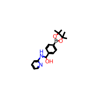 CC1(C)OB(c2ccc([C@@H](O)Nc3ccccn3)cc2)OC1(C)C